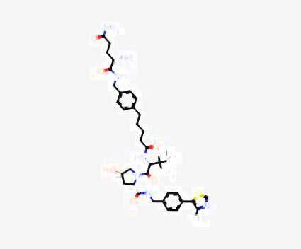 Cc1ncsc1-c1ccc(CNC(=O)[C@@H]2C[C@@H](O)CN2C(=O)[C@@H](NC(=O)CCCCc2ccc(CNC(=O)[C@@H](N)CCC(N)=O)cc2)C(C)(C)C)cc1